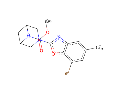 CC(C)(C)OC(=O)N1C2CC1CN(c1nc3cc(C(F)(F)F)cc(Br)c3o1)C2